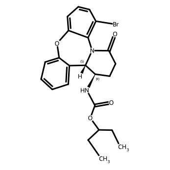 CCC(CC)OC(=O)N[C@@H]1CCC(=O)N2c3c(Br)cccc3Oc3ccccc3[C@@H]12